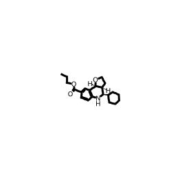 CCCOC(=O)c1ccc2c(c1)[C@H]1OCC[C@H]1[C@@H](C1CCCCC1)N2